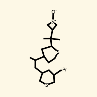 CC(C)C1CSCC(CC(C)C2CCSC(C(C)(C)C3C[S+]([O-])C3)C2)C1